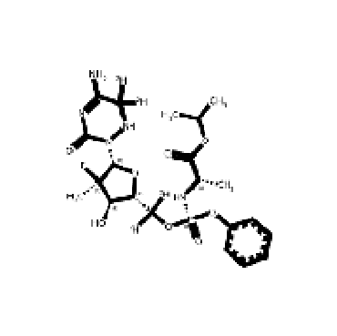 [2H]C1([2H])NN([C@@H]2O[C@H](C([2H])([2H])O[P@@](=O)(N[C@@H](C)C(=O)OC(C)C)Oc3ccccc3)[C@@H](O)[C@@]2(C)F)C(=O)N=C1N